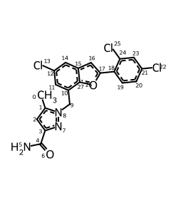 Cc1cc(C(N)=O)nn1Cc1cc(Cl)cc2cc(-c3ccc(Cl)cc3Cl)oc12